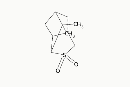 CC1(C)C2CC3CS(=O)(=O)C1C3C2